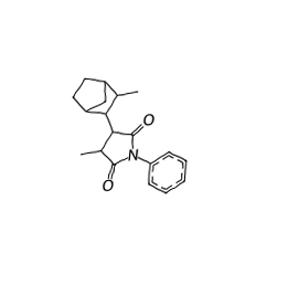 CC1C(=O)N(c2ccccc2)C(=O)C1C1C2CCC(C2)C1C